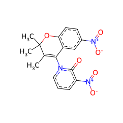 CC1=C(n2cccc([N+](=O)[O-])c2=O)c2cc([N+](=O)[O-])ccc2OC1(C)C